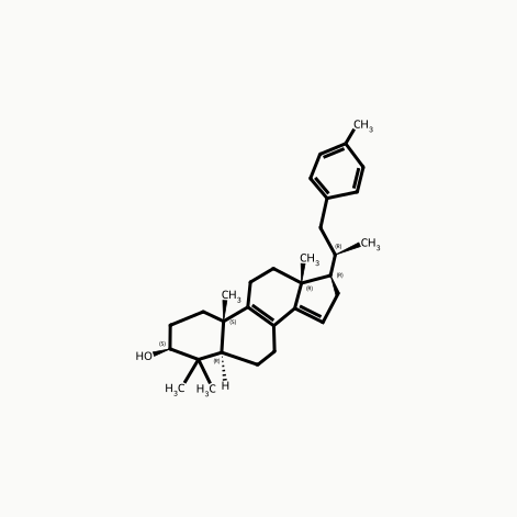 Cc1ccc(C[C@@H](C)[C@H]2CC=C3C4=C(CC[C@@]32C)[C@@]2(C)CC[C@H](O)C(C)(C)[C@@H]2CC4)cc1